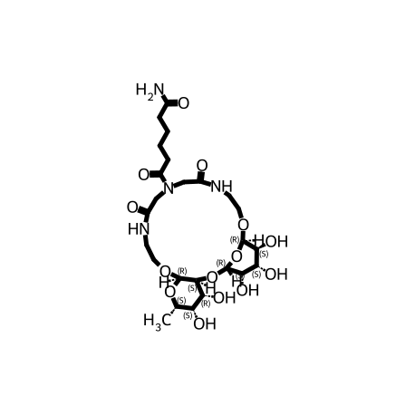 C[C@@H]1O[C@H]2OCCNC(=O)CN(C(=O)CCCCC(N)=O)CC(=O)NCCO[C@@H]3O[C@@H](O[C@H]2[C@H](O)[C@@H]1O)[C@@H](O)[C@@H](O)[C@@H]3O